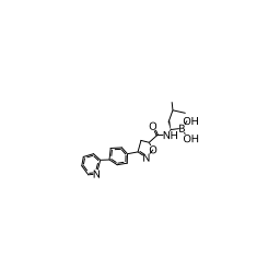 CC(C)C[C@H](NC(=O)C1CC(c2ccc(-c3ccccn3)cc2)=NO1)B(O)O